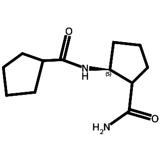 NC(=O)C1CCC[C@@H]1NC(=O)C1CCCC1